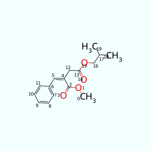 COC(=O)C(=Cc1ccccc1)CC(=O)OCC(C)C